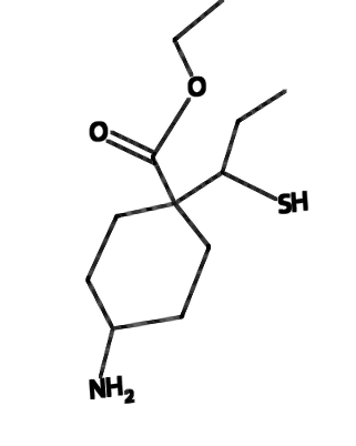 CCOC(=O)C1(C(S)CC)CCC(N)CC1